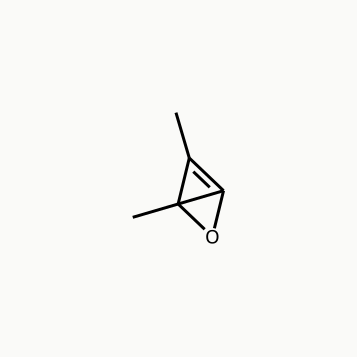 CC1=C2OC12C